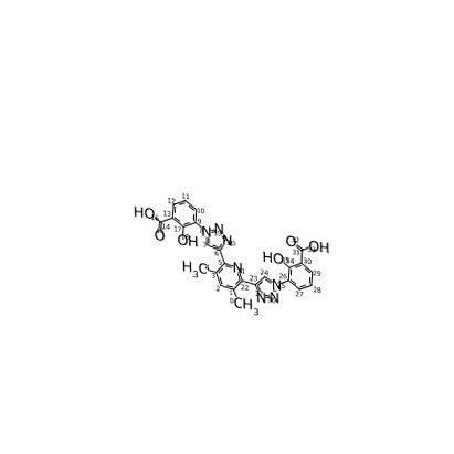 Cc1cc(C)c(-c2cn(-c3cccc(C(=O)O)c3O)nn2)nc1-c1cn(-c2cccc(C(=O)O)c2O)nn1